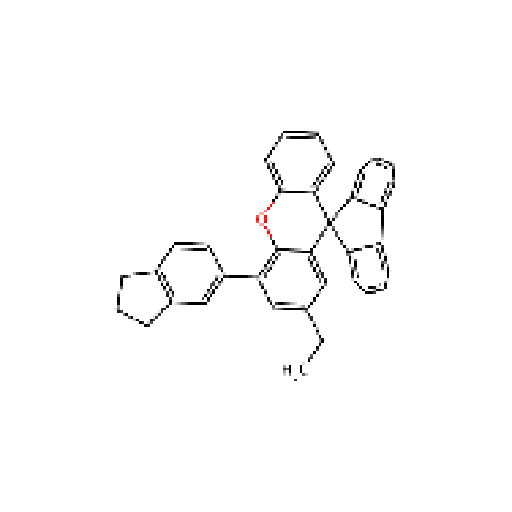 CCc1cc(-c2ccc3c(c2)CCC3)c2c(c1)C1(c3ccccc3O2)c2ccccc2-c2ccccc21